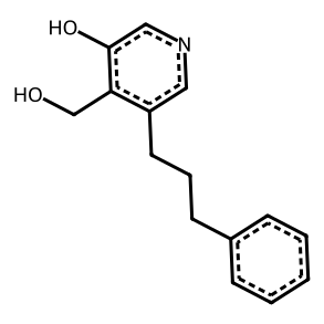 OCc1c(O)cncc1CCCc1ccccc1